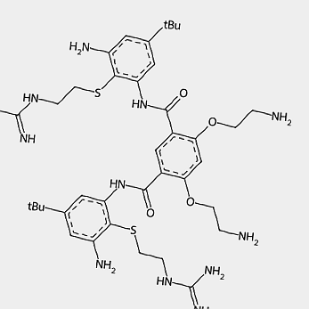 CC(=N)NCCSc1c(N)cc(C(C)(C)C)cc1NC(=O)c1cc(C(=O)Nc2cc(C(C)(C)C)cc(N)c2SCCNC(=N)N)c(OCCN)cc1OCCN